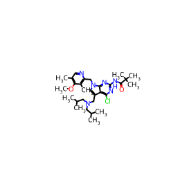 COc1c(C)cnc(Cn2cc(CN(CC(C)C)CC(C)C)c3c(Cl)nc(NC(=O)C(C)(C)C)nc32)c1C